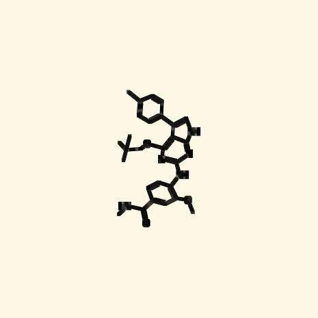 CNC(=O)c1ccc(Nc2nc(OCC(C)(C)C)c3c(-c4ccc(C)cc4)c[nH]c3n2)c(OC)c1